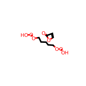 O=C1C=CO1.OOOCCCCCOOO